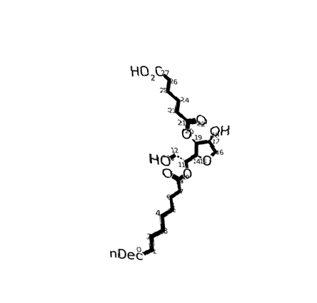 CCCCCCCCCCCCCCCCCC(=O)O[C@H](CO)[C@H]1OC[C@H](O)[C@H]1OC(=O)CCCCC(=O)O